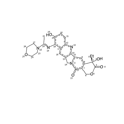 CC[C@@]1(O)C(=O)OCc2c1cc1n(c2=O)Cc2cc3c(N=C(C)N4CCOCC4)c(O)ccc3nc2-1